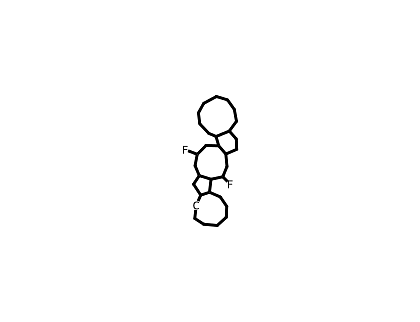 FC1CC2CC3CCCCCCCC3C2C(F)CC2CCC3CCCCCCCCC3C2C1